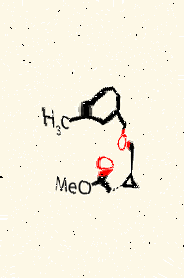 COC(=O)C[C@H]1C[C@@H]1COCC1=CC=CC(C)C1